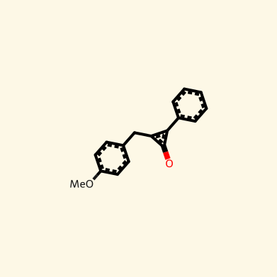 COc1ccc(Cc2c(-c3ccccc3)c2=O)cc1